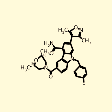 Cc1noc(C)c1-c1cc(C(N)=O)c2c3cc(C(=O)N4C[C@@H](C)O[C@@H](C)C4)ccc3n(Cc3ccc(F)cc3)c2c1